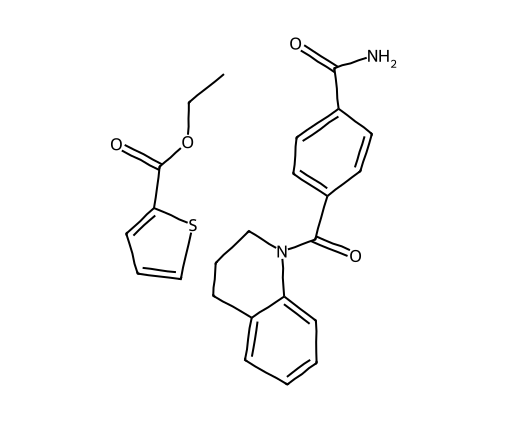 CCOC(=O)c1cccs1.NC(=O)c1ccc(C(=O)N2CCCc3ccccc32)cc1